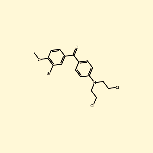 COc1ccc(C(=O)c2ccc(N(CCCl)CCCl)cc2)cc1Br